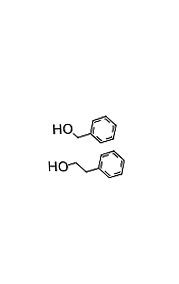 OCCc1ccccc1.OCc1ccccc1